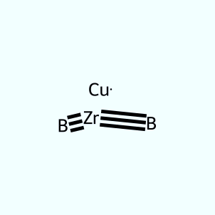 [B]#[Zr]#[B].[Cu]